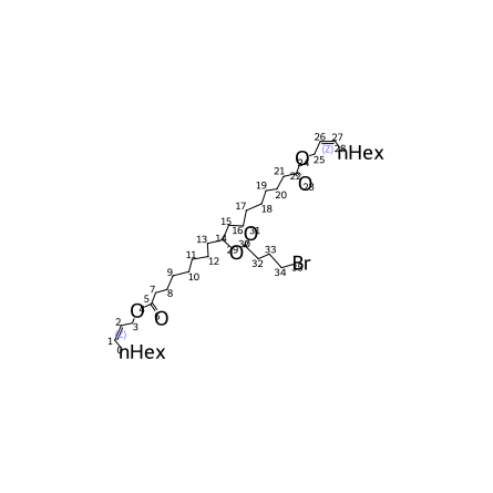 CCCCCC/C=C\COC(=O)CCCCCCCC(CCCCCCCC(=O)OC/C=C\CCCCCC)OC(=O)CCCBr